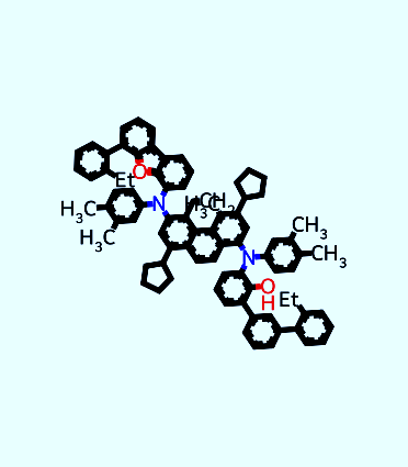 C=Cc1c(N(c2ccc(C)c(C)c2)c2cccc3c2oc2c(-c4ccccc4CC)cccc23)cc(C2CCCC2)c2ccc3c(N(c4ccc(C)c(C)c4)c4cccc(-c5cccc(-c6ccccc6CC)c5)c4O)cc(C4CCCC4)c(C)c3c12